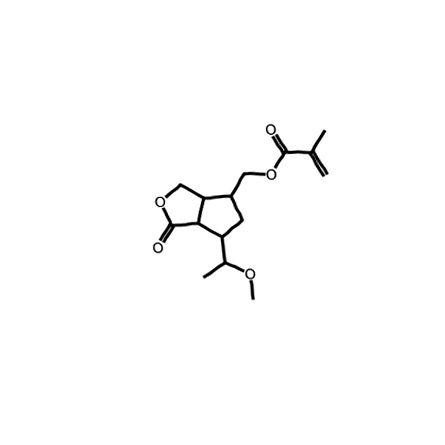 C=C(C)C(=O)OCC1CC(C(C)OC)C2C(=O)OCC12